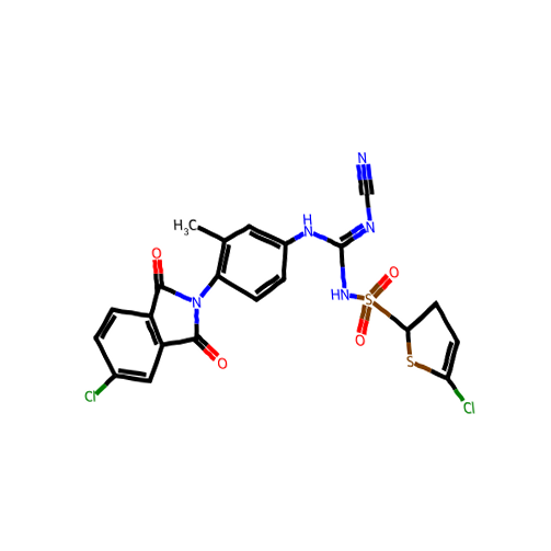 Cc1cc(N/C(=N\C#N)NS(=O)(=O)C2CC=C(Cl)S2)ccc1N1C(=O)c2ccc(Cl)cc2C1=O